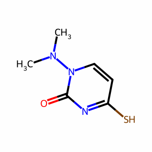 CN(C)n1ccc(S)nc1=O